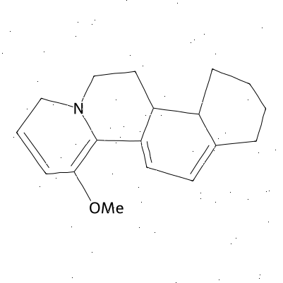 COC1=C2C3=CC=C4CCCCC4C3CCN2CC=C1